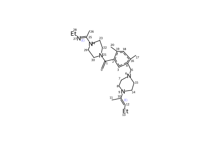 C=C(c1cc(CN2CCN(/C(C)=C/CC)CC2)c(C)cc1C)N1CCN(/C(C)=N/CC)CC1